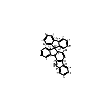 C1=CC2C(c3ccccc3C23c2ccccc2-c2ccccc23)c2[nH]c3ccccc3c21